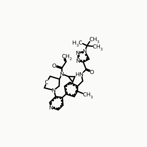 C=CC(=O)N(C1CC1)C1CCCN(c2cnccc2-c2ccc(CNC(=O)c3cn(C(C)(C)C)nn3)c(C)c2)C1